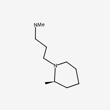 CNCCCN1CCCC[C@H]1C